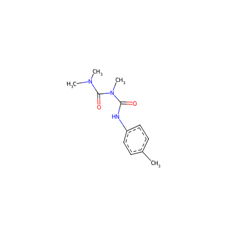 Cc1ccc(NC(=O)N(C)C(=O)N(C)C)cc1